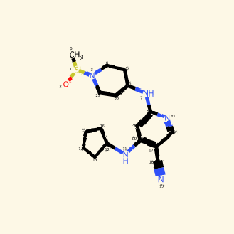 C[S+]([O-])N1CCC(Nc2cc(NC3CCCC3)c(C#N)cn2)CC1